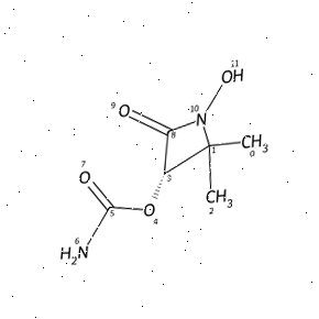 CC1(C)[C@H](OC(N)=O)C(=O)N1O